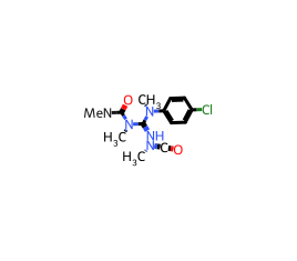 CN=C=O.CNC(=O)N(C)C(=N)N(C)c1ccc(Cl)cc1